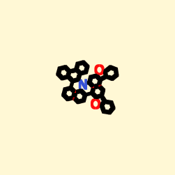 c1ccc(-c2c(N(c3ccc4c(c3)oc3ccccc34)c3ccccc3-c3cccc4c3oc3ccccc34)c3ccccc3c3ccccc23)cc1